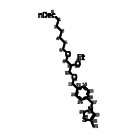 CCCCCCCCCCCCCCCCOCC(COCc1ccc(CN2C=C(C)SC2)cc1)OCC